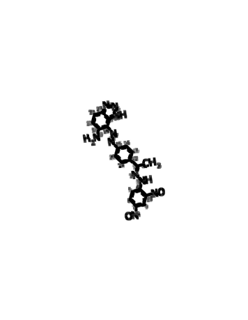 C/C(=N\Nc1ccc(N=O)cc1N=O)c1ccc(/N=N/c2c(N)ccc3nn[nH]c23)cc1